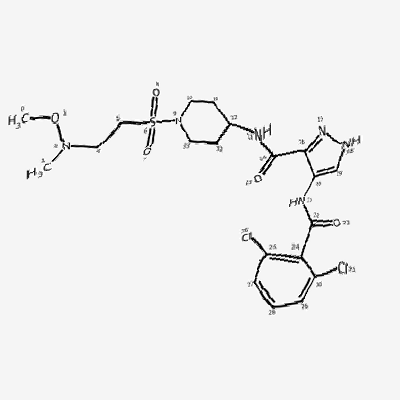 CON(C)CCS(=O)(=O)N1CCC(NC(=O)c2n[nH]cc2NC(=O)c2c(Cl)cccc2Cl)CC1